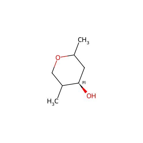 CC1C[C@@H](O)C(C)CO1